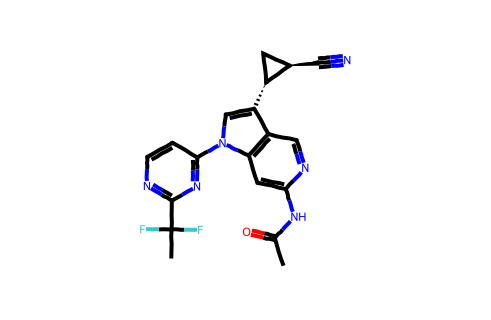 CC(=O)Nc1cc2c(cn1)c([C@@H]1C[C@H]1C#N)cn2-c1ccnc(C(C)(F)F)n1